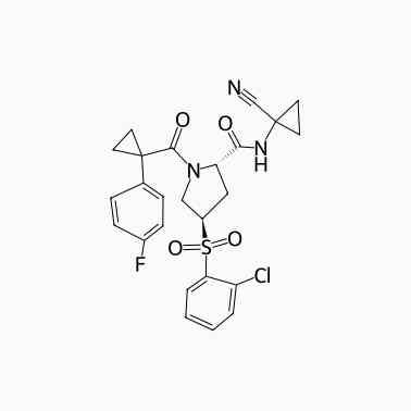 N#CC1(NC(=O)[C@@H]2C[C@@H](S(=O)(=O)c3ccccc3Cl)CN2C(=O)C2(c3ccc(F)cc3)CC2)CC1